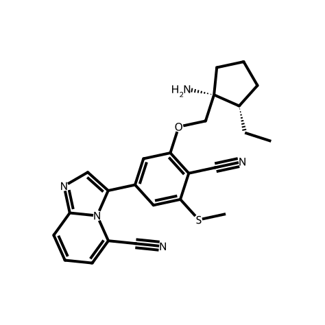 CC[C@H]1CCC[C@]1(N)COc1cc(-c2cnc3cccc(C#N)n23)cc(SC)c1C#N